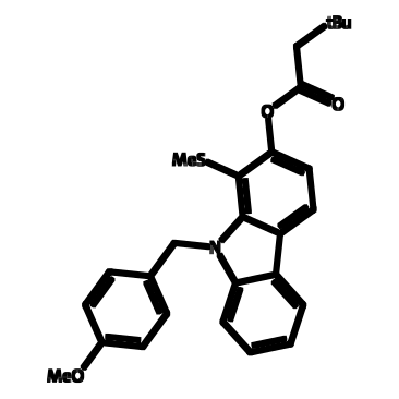 COc1ccc(Cn2c3ccccc3c3ccc(OC(=O)CC(C)(C)C)c(SC)c32)cc1